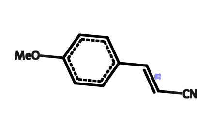 COc1ccc(/C=C/C#N)cc1